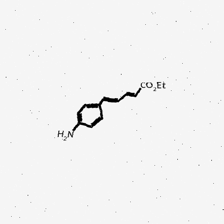 CCOC(=O)C=CC=Cc1ccc(N)cc1